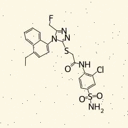 CCc1ccc(-n2c(CF)nnc2SCC(=O)Nc2ccc(S(N)(=O)=O)cc2Cl)c2ccccc12